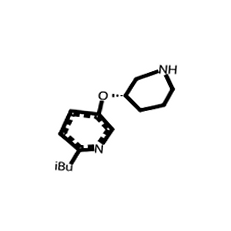 CCC(C)c1ccc(O[C@H]2CCCNC2)cn1